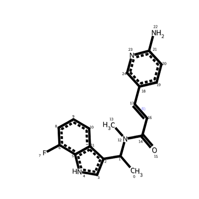 CC(c1c[nH]c2c(F)cccc12)N(C)C(=O)/C=C/c1ccc(N)nc1